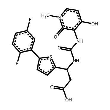 Cn1ccc(O)c(NC(=O)N[C@@H](CC(=O)O)c2ccc(-c3cc(F)ccc3F)s2)c1=O